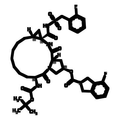 CC(C)(C)OC(=O)N[C@H]1CCCCCCC[C@@H]2C[C@@]2(C(=O)NS(=O)(=O)Cc2ccccc2F)NC(=O)[C@@H]2C[C@@H](OC(=O)N3Cc4cccc(F)c4C3)CN2C1=O